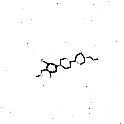 CCC[C@H]1CC[C@H]([C@H]2CC[C@H](c3cc(F)c(COC)c(F)c3)CC2)CC1